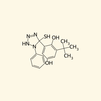 CC(C)(C)c1cc(O)cc(C2(S)N=NNN2c2ccccc2)c1O